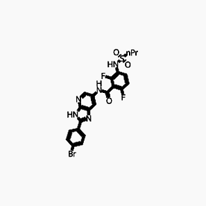 CCCS(=O)(=O)Nc1ccc(F)c(C(=O)Nc2cnc3[nH]c(-c4ccc(Br)cc4)nc3c2)c1F